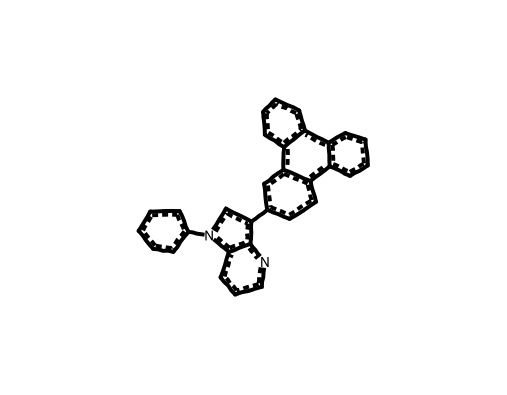 c1ccc(-n2cc(-c3ccc4c5ccccc5c5ccccc5c4c3)c3ncccc32)cc1